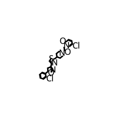 O=C(Cn1cc(Cl)ccc1=O)N1CCC(c2nc(C3=NOC(c4ccccc4Cl)C3)cs2)CC1